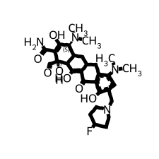 CN(C)c1cc(CN2CCC(F)CC2)c(O)c2c1CC1CC3C(C(O)=C1C2=O)[C@](O)(C=O)C(C(N)=O)=C(O)[C@H]3N(C)C